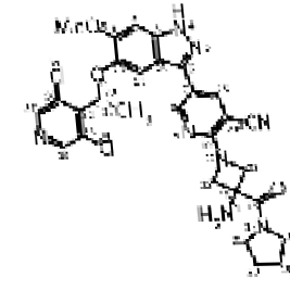 COc1cc2[nH]nc(-c3cnc(N4CC(N)(C(=O)N5CCCC5)C4)c(C#N)c3)c2cc1O[C@H](C)c1c(Cl)cncc1Cl